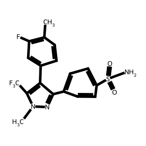 Cc1ccc(-c2c(-c3ccc(S(N)(=O)=O)cc3)nn(C)c2C(F)(F)F)cc1F